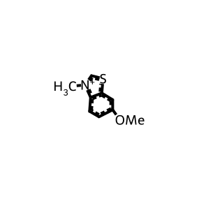 COc1ccc2c(c1)sc[n+]2C